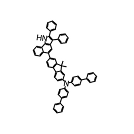 CC1(C)c2cc(-c3cc4c(-c5ccccc5)c(-c5ccccc5)[nH]c4c4ccccc34)ccc2-c2ccc(N(c3ccc(-c4ccccc4)cc3)c3ccc(-c4ccccc4)cc3)cc21